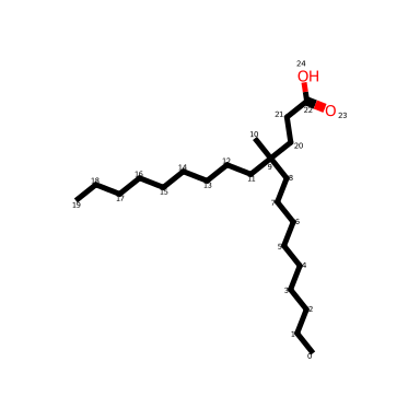 CCCCCCCCCC(C)(CCCCCCCCC)CCC(=O)O